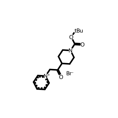 CC(C)(C)OC(=O)N1CCC(C(=O)C[n+]2ccccc2)CC1.[Br-]